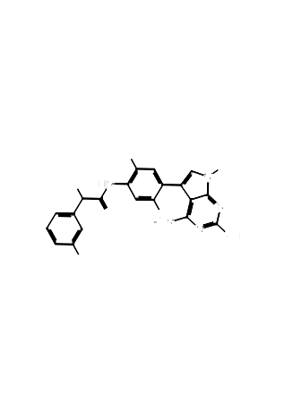 Cc1nc(N)c2c(-c3cc(F)c(NC(=O)C(O)c4cccc(F)c4)cc3C)cn(C)c2n1